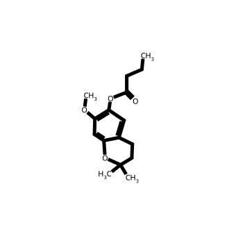 CCCC(=O)Oc1cc2c(cc1OC)OC(C)(C)CC2